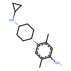 Cc1cc([C@H]2CC[C@@H](NC3CC3)CC2)c(C)cc1N